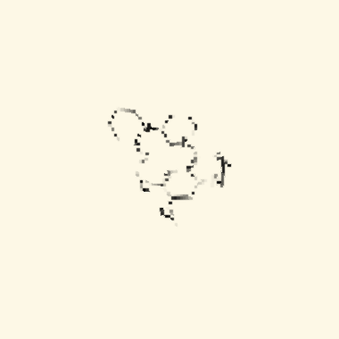 COc1cc2nncc(N3CCC[C@H](N4CCCCC4=O)C3)c2cc1OC